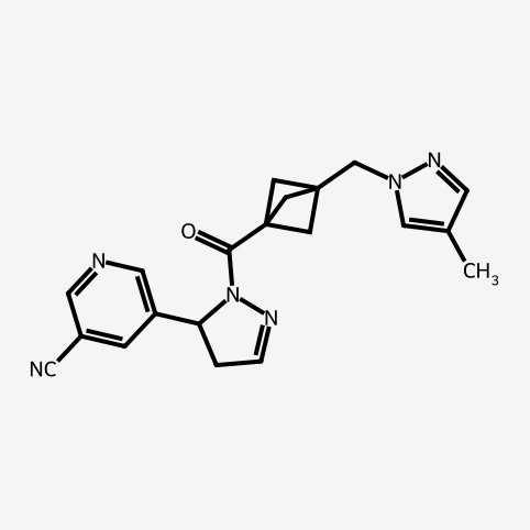 Cc1cnn(CC23CC(C(=O)N4N=CCC4c4cncc(C#N)c4)(C2)C3)c1